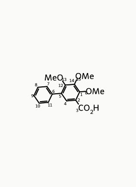 COc1c(C(=O)O)cc(-c2ccccc2)c(OC)c1OC